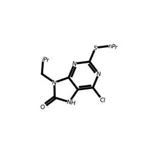 CCCSc1nc(Cl)c2[nH]c(=O)n(CC(C)C)c2n1